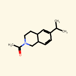 CC(=O)N1CCC2C=C(C(C)C)C=CC2C1